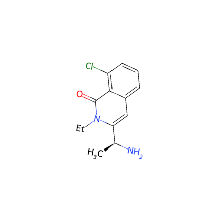 CCn1c([C@H](C)N)cc2cccc(Cl)c2c1=O